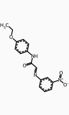 CCOc1ccc(NC(=O)/C=N/c2cccc([N+](=O)[O-])c2)cc1